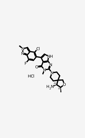 C[C@@H]1OCC2(CCN(c3nc4[nH]cc(-c5cc(F)c6nn(C)cc6c5Cl)c4c(=O)n3C)CC2)[C@@H]1N.Cl